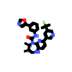 C[C@@H]1CNc2ccc(-c3cncc(C(C)(C)F)c3)nc2N(C(=O)Nc2cccc(-c3cnco3)c2)[C@@H]1C